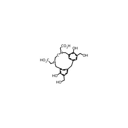 O=C(O)CN1CCN(CC(=O)O)Cc2cc(cc(CO)c2O)Cc2cc(CO)c(O)c(c2)C1